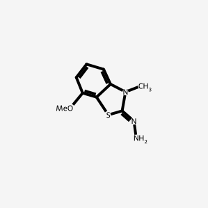 COc1cccc2c1s/c(=N\N)n2C